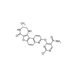 C[C@@H]1CNc2c(oc3ccc4nc(Oc5nc(Cl)ncc5C(N)=O)ccc4c23)C(=O)N1